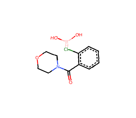 O=C(c1ccccc1Cl)N1CCOCC1.OBO